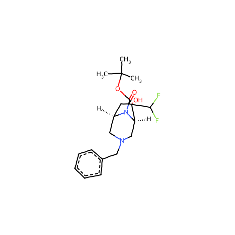 CC(C)(C)OC(=O)N1[C@H]2CN(Cc3ccccc3)C[C@@H]1C(O)(C(F)F)C2